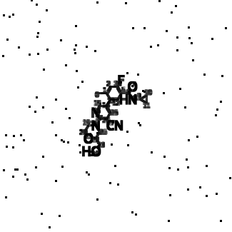 Cc1cc(F)c(C(=O)NC2CC2)cc1-c1cnc(N2CCOC(CO)C2)c(C#N)c1